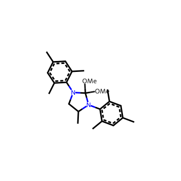 COC1(OC)N(c2c(C)cc(C)cc2C)CC(C)N1c1c(C)cc(C)cc1C